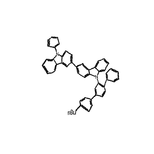 CCCCc1ccc(-c2ccc(-c3ccccc3)c(-n3c4ccccc4c4cc(-c5ccc6c(c5)c5ccccc5n6-c5ccccc5)ccc43)c2)cc1